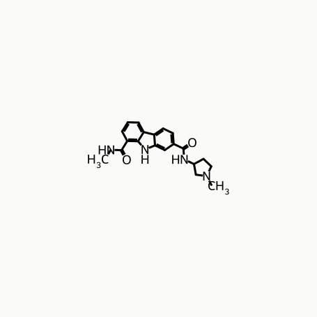 CNC(=O)c1cccc2c1[nH]c1cc(C(=O)NC3CCN(C)C3)ccc12